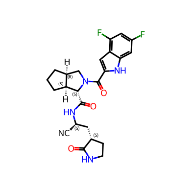 N#C[C@H](C[C@@H]1CCNC1=O)NC(=O)[C@@H]1[C@H]2CCC[C@H]2CN1C(=O)c1cc2c(F)cc(F)cc2[nH]1